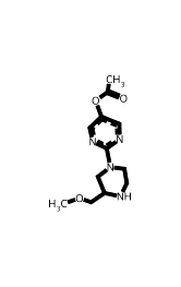 COCC1CN(c2ncc(OC(C)=O)cn2)CCN1